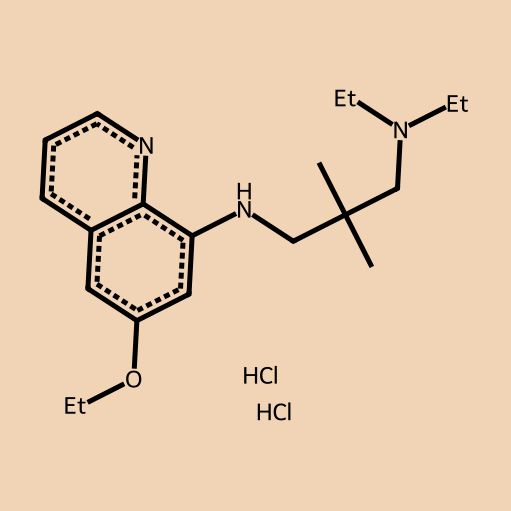 CCOc1cc(NCC(C)(C)CN(CC)CC)c2ncccc2c1.Cl.Cl